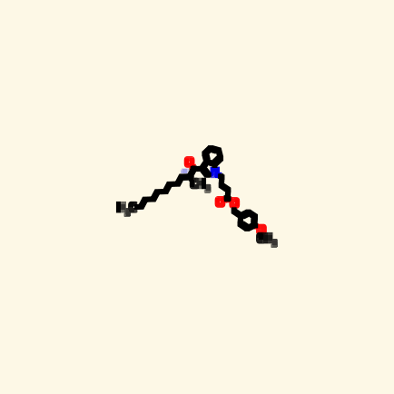 CCCCCCCC/C=C(\C)C(=O)c1cn(CCCC(=O)OCc2ccc(OC)cc2)c2ccccc12